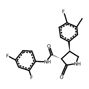 Cc1cc([C@H]2CNC(=O)[C@@H]2C(=O)Nc2ccc(F)cc2F)ccc1F